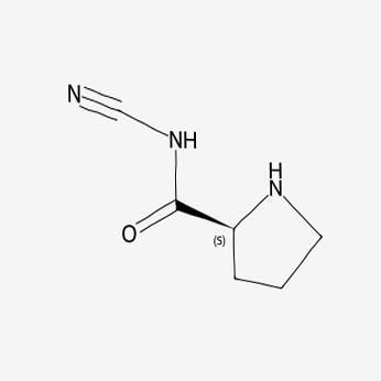 N#CNC(=O)[C@@H]1CCCN1